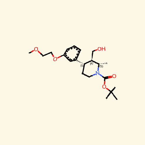 COCCOc1cccc([C@H]2CCN(C(=O)OC(C)(C)C)[C@@H](C)[C@@H]2CO)c1